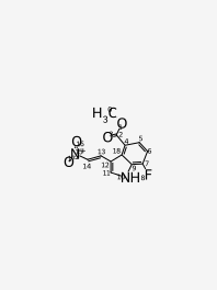 COC(=O)c1ccc(F)c2[nH]cc(C=C[N+](=O)[O-])c12